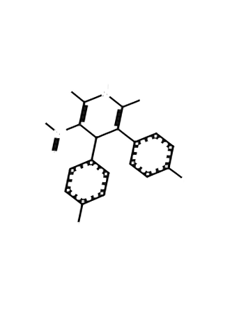 CC1=C(c2ccc(Cl)cc2)C(c2ccc(Cl)cc2)C([N+](=O)[O-])=C(C)N1